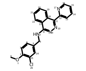 COc1ccc(CNc2nnc(-c3ccccn3)c3ccccc23)cc1Cl